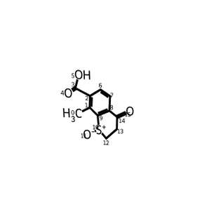 Cc1c(C(=O)O)ccc2c1[S+]([O-])CCC2=O